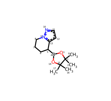 CC1(C)OB(C2CCCn3nccc32)OC1(C)C